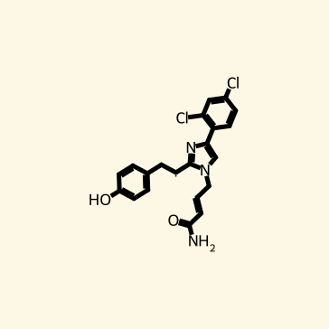 NC(=O)/C=C/Cn1cc(-c2ccc(Cl)cc2Cl)nc1[CH]Cc1ccc(O)cc1